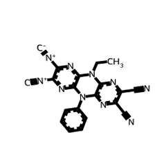 [C-]#[N+]c1nc2c(nc1[N+]#[C-])N(c1ccccc1)c1nc(C#N)c(C#N)nc1N2CC